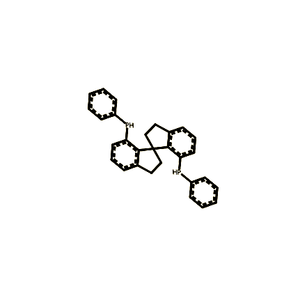 c1ccc(Pc2cccc3c2C2(CC3)CCc3cccc(Pc4ccccc4)c32)cc1